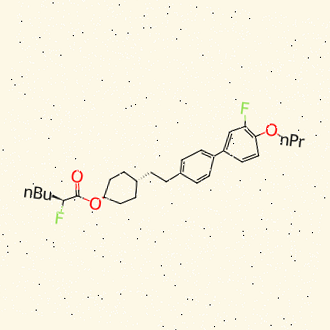 CCCC[C@H](F)C(=O)O[C@H]1CC[C@H](CCc2ccc(-c3ccc(OCCC)c(F)c3)cc2)CC1